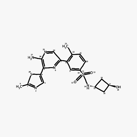 Cc1ncc(-c2nc(-c3cc(S(=O)(=O)N[C@H]4C[C@H](O)C4)ccc3C)cnc2N)s1